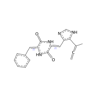 C=C=C(C)c1[nH]cnc1/C=c1\[nH]c(=O)/c(=C/c2ccccc2)[nH]c1=O